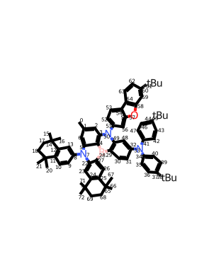 Cc1cc2c3c(c1)N(c1ccc4c(c1)C(C)(C)CCC4(C)C)c1cc4c(cc1B3c1ccc(N(c3ccc(C(C)(C)C)cc3)c3ccc(C(C)(C)C)cc3)cc1N2c1ccc2c(c1)oc1cc(C(C)(C)C)ccc12)C(C)(C)CCC4(C)C